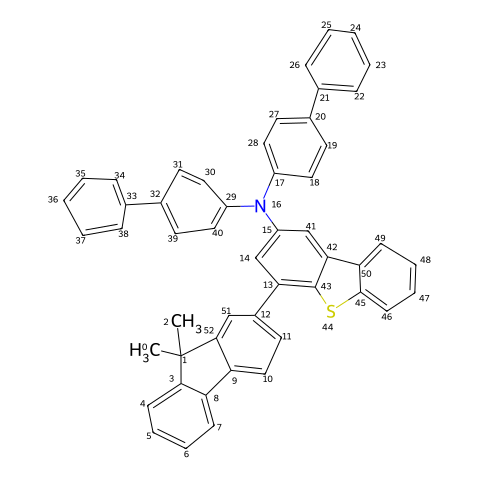 CC1(C)c2ccccc2-c2ccc(-c3cc(N(c4ccc(-c5ccccc5)cc4)c4ccc(-c5ccccc5)cc4)cc4c3sc3ccccc34)cc21